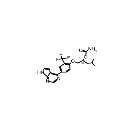 CC(C)C[C@@](C)(COc1ccc(-c2ncnc3[nH]ccc23)cc1C(F)(F)F)OC(N)=O